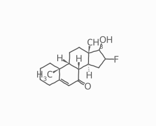 C[C@]12CCCCC1=CC(=O)[C@@H]1[C@H]2CC[C@]2(C)C(O)C(F)C[C@@H]12